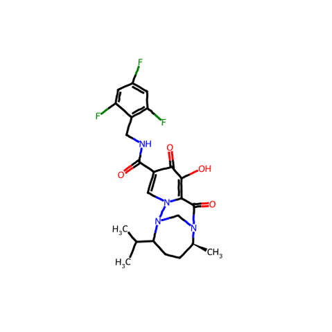 CC(C)C1CC[C@H](C)N2CN1n1cc(C(=O)NCc3c(F)cc(F)cc3F)c(=O)c(O)c1C2=O